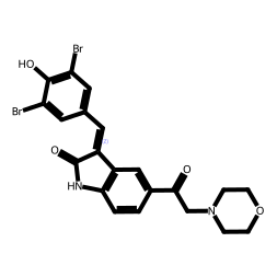 O=C1Nc2ccc(C(=O)CN3CCOCC3)cc2/C1=C/c1cc(Br)c(O)c(Br)c1